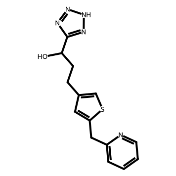 OC(CCc1csc(Cc2ccccn2)c1)c1nn[nH]n1